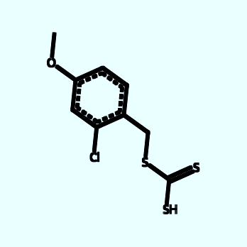 COc1ccc(CSC(=S)S)c(Cl)c1